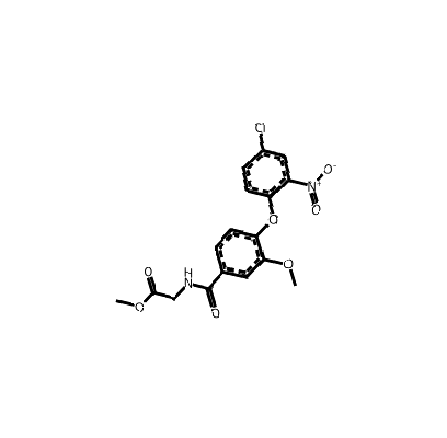 COC(=O)CNC(=O)c1ccc(Oc2ccc(Cl)cc2[N+](=O)[O-])c(OC)c1